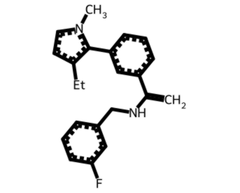 C=C(NCc1cccc(F)c1)c1cccc(-c2c(CC)ccn2C)c1